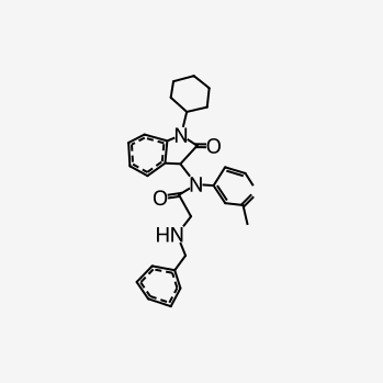 C=C(C)/C=C(\C=C/C)N(C(=O)CNCc1ccccc1)C1C(=O)N(C2CCCCC2)c2ccccc21